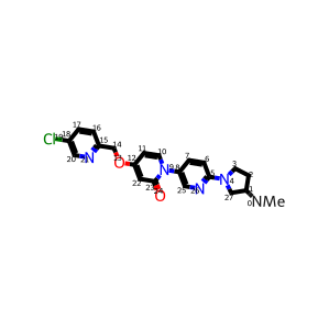 CNC1CCN(c2ccc(-n3ccc(OCc4ccc(Cl)cn4)cc3=O)cn2)C1